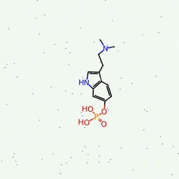 CN(C)CCc1c[nH]c2cc(OP(=O)(O)O)ccc12